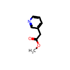 COC(=O)Cc1[c]nccc1